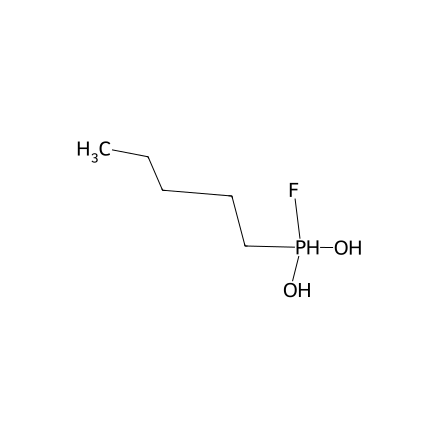 CCCCC[PH](O)(O)F